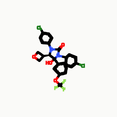 O=C1N(c2ccc(Cl)cc2)[C@H](C2COC2)C(O)(c2cccc(OC(F)(F)F)c2)N1c1ccc(Cl)cc1